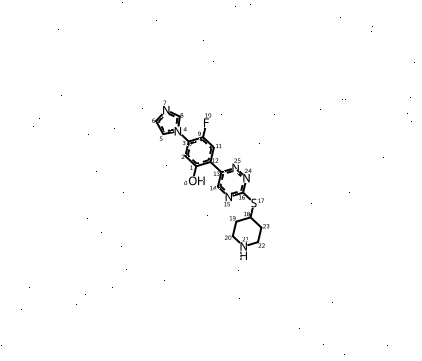 Oc1cc(-n2ccnc2)c(F)cc1-c1cnc(SC2CCNCC2)nn1